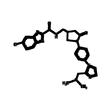 CN(C)Cc1nccn1-c1ccc(N2CC(CNC(=O)c3nc4cc(Cl)ccc4s3)CC2=O)cc1